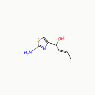 C/C=C/C(O)c1csc(N)n1